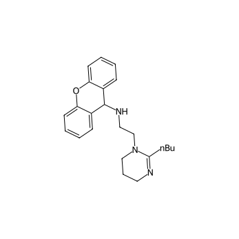 CCCCC1=NCCCN1CCNC1c2ccccc2Oc2ccccc21